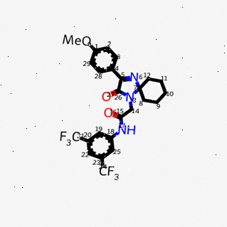 COc1ccc(C2=NC3(CCCCC3)N(CC(=O)Nc3cc(C(F)(F)F)cc(C(F)(F)F)c3)C2=O)cc1